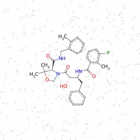 Cc1ccccc1CNC(=O)[C@H]1N(C(=O)[C@@H](O)[C@H](Cc2ccccc2)NC(=O)c2cccc(F)c2C)COC1(C)C